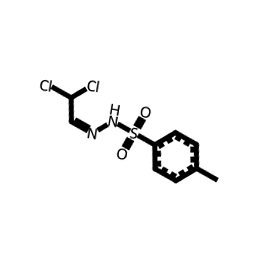 Cc1ccc(S(=O)(=O)N/N=C\C(Cl)Cl)cc1